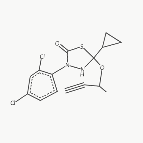 C#CC(C)OC1(C2CC2)NN(c2ccc(Cl)cc2Cl)C(=O)S1